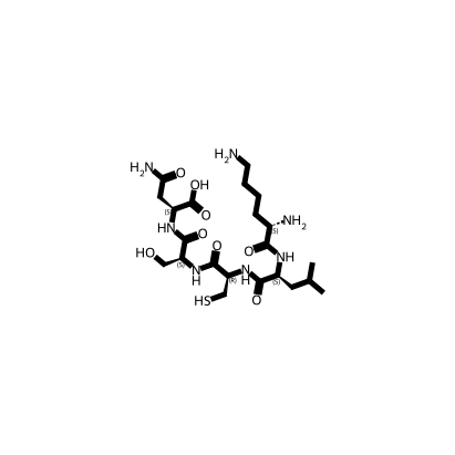 CC(C)C[C@H](NC(=O)[C@@H](N)CCCCN)C(=O)N[C@@H](CS)C(=O)N[C@@H](CO)C(=O)N[C@@H](CC(N)=O)C(=O)O